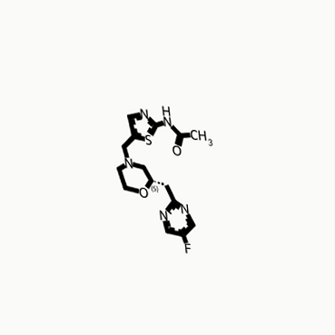 CC(=O)Nc1ncc(CN2CCO[C@@H](Cc3ncc(F)cn3)C2)s1